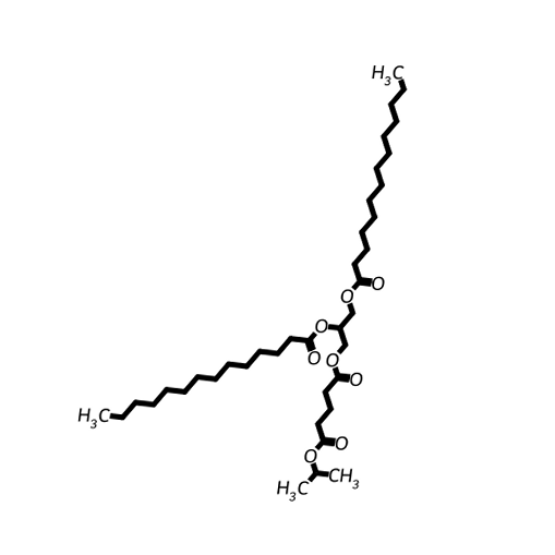 CCCCCCCCCCCCCC(=O)OCC(COC(=O)CCCC(=O)OC(C)C)OC(=O)CCCCCCCCCCCCC